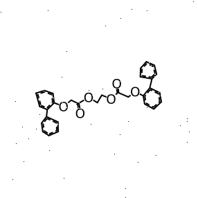 O=C(COc1ccccc1-c1ccccc1)OCCOC(=O)COc1ccccc1-c1ccccc1